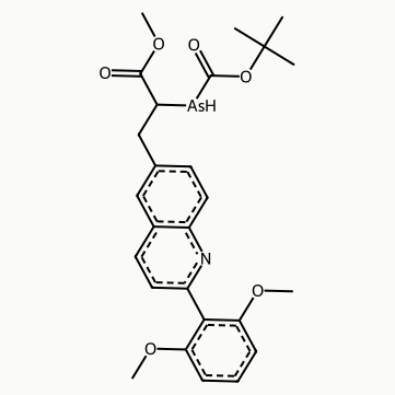 COC(=O)C(Cc1ccc2nc(-c3c(OC)cccc3OC)ccc2c1)[AsH]C(=O)OC(C)(C)C